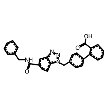 O=C(NCc1ccccc1)c1ccc2c(c1)nnn2Cc1ccc(-c2ccccc2C(=O)O)cc1